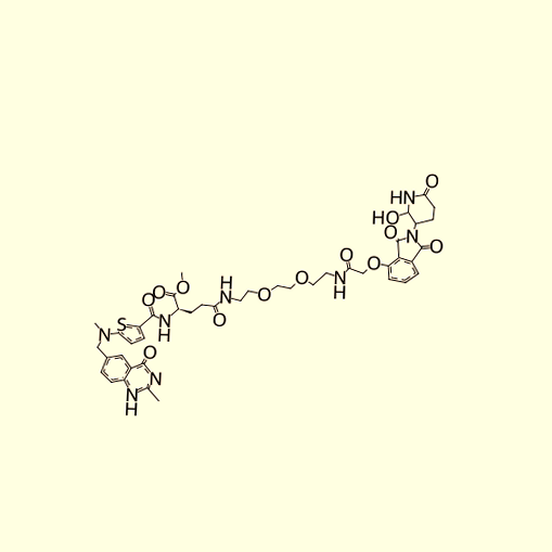 COC(=O)[C@@H](CCC(=O)NCCOCCOCCNC(=O)COc1cccc2c1C(=O)N(C1CCC(=O)NC1O)C2=O)NC(=O)c1ccc(N(C)Cc2ccc3[nH]c(C)nc(=O)c3c2)s1